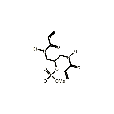 C=CC(=O)N(CC)CC(CN(CC)C(=O)C=C)OP(=O)(O)OC